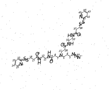 [N-]=[N+]=NCCCN(CCC(=O)NCCNC(=O)CCSSc1ccccn1)CCC(=O)NCCNC(=O)CCSSc1ccccn1